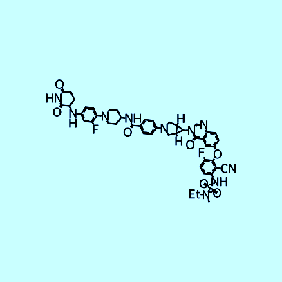 CCN(C)S(=O)(=O)Nc1ccc(F)c(Oc2ccc3ncn([C@H]4[C@@H]5CN(c6ccc(C(=O)NC7CCN(c8ccc(NC9CCC(=O)NC9=O)cc8F)CC7)cc6)C[C@@H]54)c(=O)c3c2)c1C#N